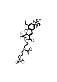 CCc1cc(S(F)(F)(F)(F)F)cc2c1OC(C(F)(F)F)C(C(=O)OCCN(CCO[N+](=O)[O-])C(C)=O)=C2